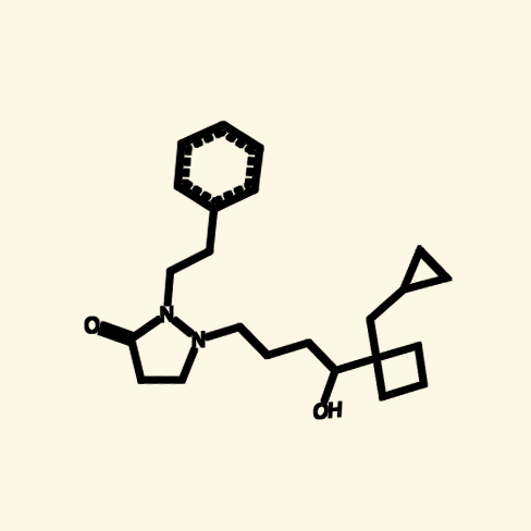 O=C1CCN(CCCC(O)C2(CC3CC3)CCC2)N1CCc1ccccc1